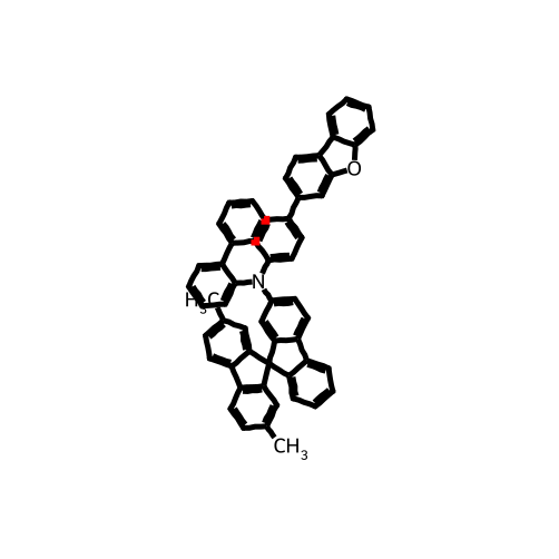 Cc1ccc2c(c1)C1(c3ccccc3-c3ccc(N(c4ccc(-c5ccc6c(c5)oc5ccccc56)cc4)c4ccccc4-c4ccccc4)cc31)c1cc(C)ccc1-2